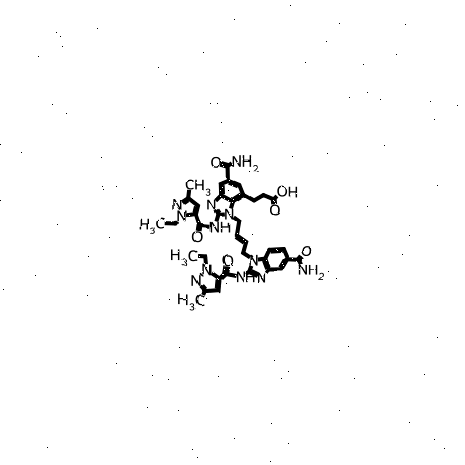 CCn1nc(C)cc1C(=O)Nc1nc2cc(C(N)=O)ccc2n1CC=CCn1c(NC(=O)c2cc(C)nn2CC)nc2cc(C(N)=O)cc(CCC(=O)O)c21